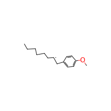 CCCCCC[CH]Cc1ccc(OC)cc1